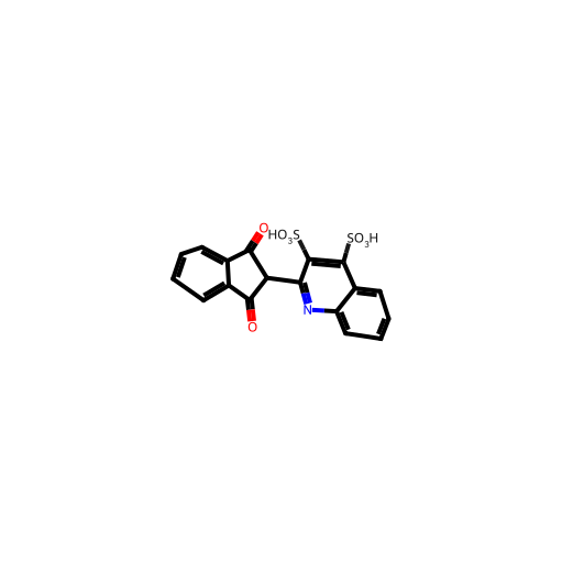 O=C1c2ccccc2C(=O)C1c1nc2ccccc2c(S(=O)(=O)O)c1S(=O)(=O)O